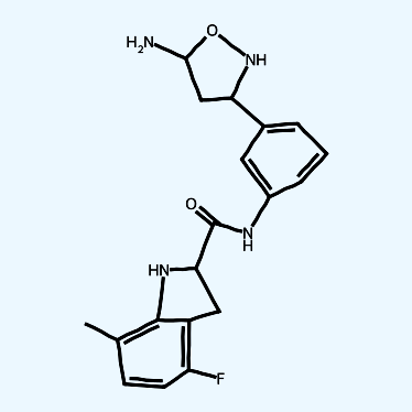 Cc1ccc(F)c2c1NC(C(=O)Nc1cccc(C3CC(N)ON3)c1)C2